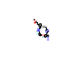 CCOC(=O)CCc1cccc(C2(C)CCCCc3cnc(cn3)Cc3c(c(F)cc4[nH]ccc34)Oc3ccc(F)c(c3)-c3nc2nn3C)c1